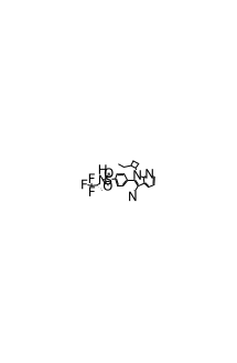 CCC1CCC1n1c(-c2ccc(S(=O)(=O)N[C@H](C)C(F)(F)F)cc2)c(C#N)c2cccnc21